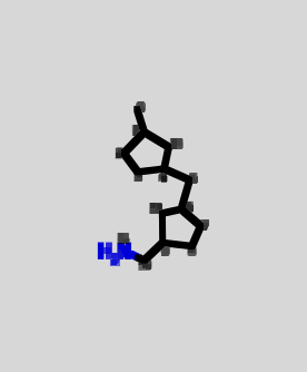 CC1CCC(CC2CCC(CN)C2)C1